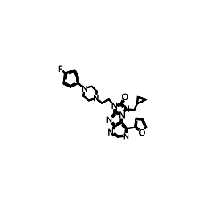 O=c1n(CCN2CCN(c3ccc(F)cc3)CC2)c2nc3ncnc(-c4ccco4)c3n2n1CC1CC1